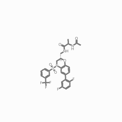 CC(=O)NC(C)C(=O)NC[C@H]1CN(S(=O)(=O)c2cccc(C(F)(F)F)c2)c2cc(-c3cc(F)ccc3F)ccc2O1